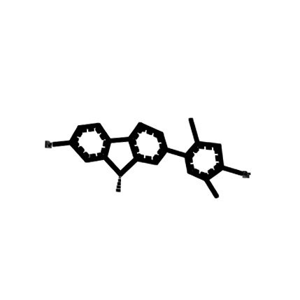 Cc1cc(-c2ccc3c(c2)[C@H](C)c2cc(Br)ccc2-3)c(C)cc1Br